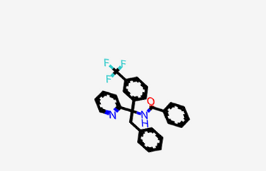 O=C(NC(Cc1ccccc1)(c1cccc(C(F)(F)F)c1)c1ccccn1)c1ccccc1